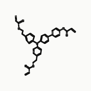 C=CC(=O)OCCc1ccc(N(c2ccc(CCOC(=O)C=C)cc2)c2ccc(-c3ccc(OC(=O)C=C)cc3)cc2)cc1